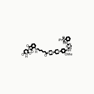 COc1cc(N2CCC(N3CCN(C(=O)CCCCCNc4cccc5c4C(=O)N(C4CCC(=O)NC4=O)C5=O)CC3)CC2)ccc1Nc1ncnc(Nc2ccccc2S(=O)(=O)C(C)C)n1